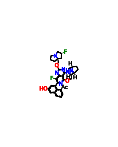 CC(=O)c1cccc2cc(O)cc(-c3nc4c5c(nc(OC[C@@]67CCCN6C[C@H](F)C7)nc5c3F)N3C[C@H]5CC[C@H](N5)[C@H]3CO4)c12